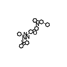 c1ccc(-c2ccc3c4ccccc4n(-c4ccc5oc6cc(-c7nc(-c8ccccc8)nc(-c8cccc9c8sc8ccccc89)n7)ccc6c5c4)c3c2)cc1